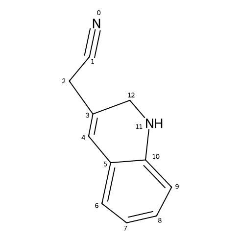 N#CCC1=Cc2ccccc2NC1